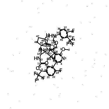 COc1ncc(-c2cc([C@H](OC(=O)NC3CC3)C(F)(F)F)ccc2F)cc1C(=O)N[C@H]1[C@@H](C(=O)Nc2ccc(F)c(C(F)(F)F)c2)[C@H]2CC[C@@H]1/C2=C\C1CC(F)(F)C1